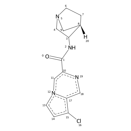 O=C(NC1CN2CC[C@H]1C2)c1cn2ccc(Cl)c2cn1